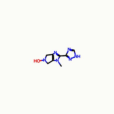 Cn1c(-c2nc[nH]n2)nc2c1CN(O)C2